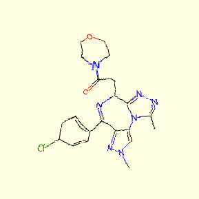 Cc1nnc2n1-c1cn(C)nc1C(C1=CCC(Cl)C=C1)=NC2CC(=O)N1CCOCC1